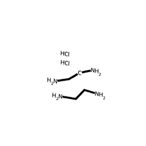 Cl.Cl.NCCN.NCCN